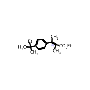 CCOC(=O)/C(C)=C(\C)c1ccc(C(C)(C)CC)cc1